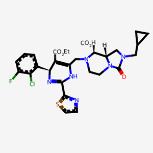 CCOC(=O)C1=C(CN2CCN3C(=O)N(CC4CC4)C[C@H]3[C@@H]2C(=O)O)NC(c2nccs2)=N[C@H]1c1cccc(F)c1Cl